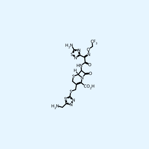 NCc1nnc(SCC2=C(C(=O)O)N3C(=O)C(NC(=O)/C(=N/OCC(F)(F)F)c4nsc(N)n4)[C@H]3SC2)s1